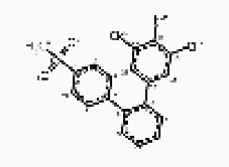 CS(=O)(=O)c1ccc(-c2ccccc2-c2cc(Cl)c(F)c(Cl)c2)cc1